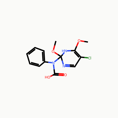 COC1=C(Cl)C=NC(OC)(N(C(=O)O)c2ccccc2)N1